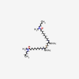 C=CC/C=C/N(C)C(=O)CCCCCCCC/C=C/[C@H](CCSC[C@@H](/C=C/CCCCCCCCC(=O)N(C)/C=C/CC=C)NC(C)=O)NC(C)=O